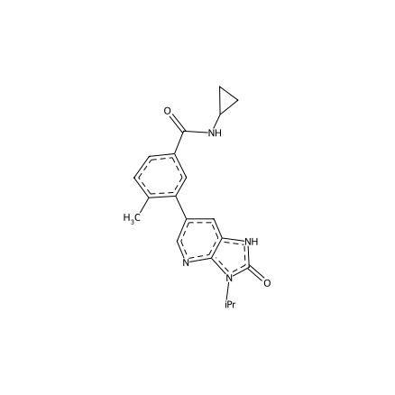 Cc1ccc(C(=O)NC2CC2)cc1-c1cnc2c(c1)[nH]c(=O)n2C(C)C